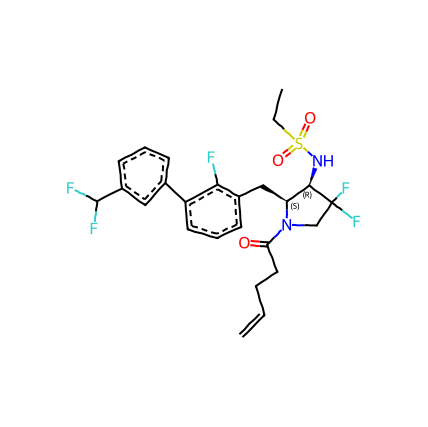 C=CCCC(=O)N1CC(F)(F)[C@H](NS(=O)(=O)CC)[C@@H]1Cc1cccc(-c2cccc(C(F)F)c2)c1F